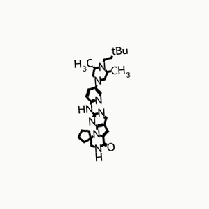 CC1CN(c2ccc(Nc3ncc4cc5n(c4n3)C3(CCCC3)CNC5=O)nc2)CC(C)N1CCC(C)(C)C